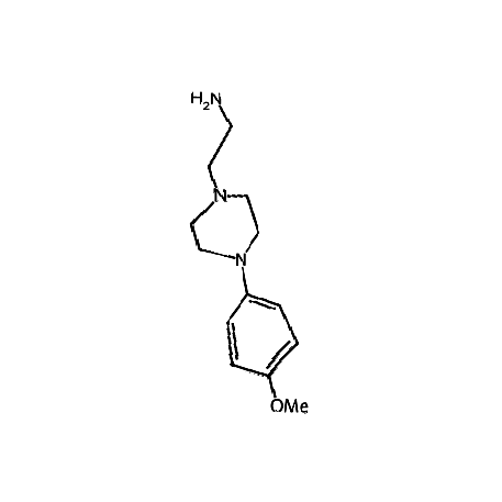 COc1ccc(N2CCN(CCN)CC2)cc1